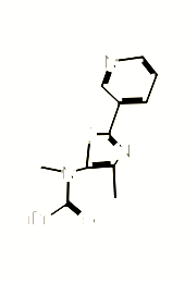 Cc1nc(-c2cccnc2)sc1N(C)C(=O)C(C)C